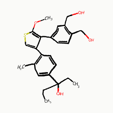 CCC(O)(CC)c1ccc(-c2csc(OC)c2-c2ccc(CO)c(CO)c2)c(C)c1